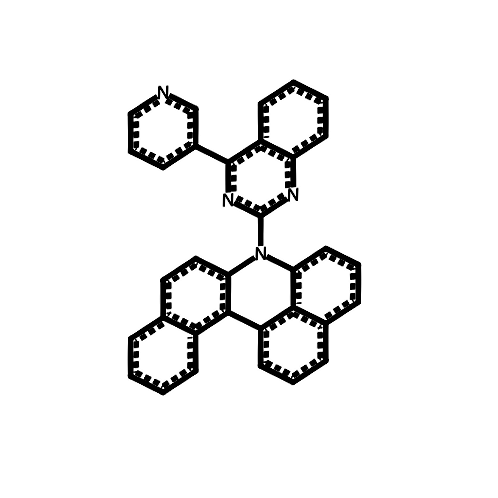 c1cncc(-c2nc(N3c4ccc5ccccc5c4-c4cccc5cccc3c45)nc3ccccc23)c1